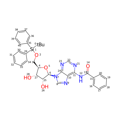 CC(C)(C)[Si](OC[C@H]1O[C@@H](n2cnc3c(NC(=O)c4ccccc4)ncnc32)[C@H](O)[C@@H]1O)(c1ccccc1)c1ccccc1